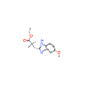 CCOC(=O)C(C)(C)Cc1nc2cc(OC)ccc2[nH]1